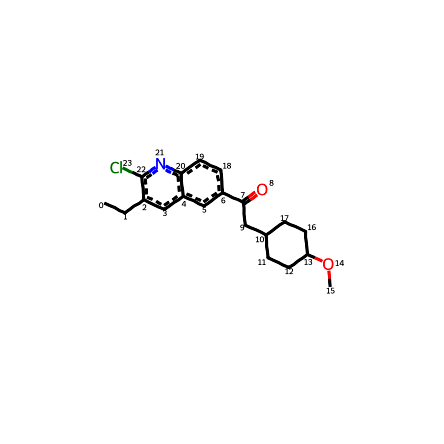 CCc1cc2cc(C(=O)CC3CCC(OC)CC3)ccc2nc1Cl